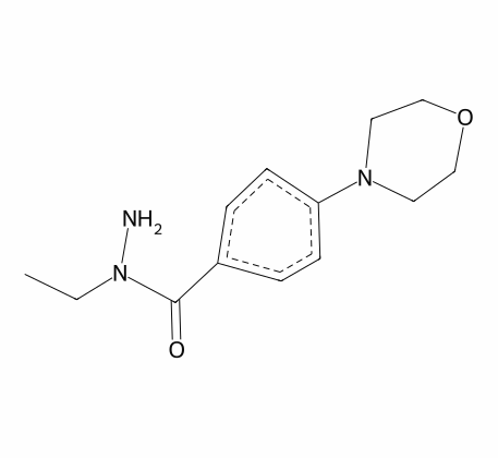 CCN(N)C(=O)c1ccc(N2CCOCC2)cc1